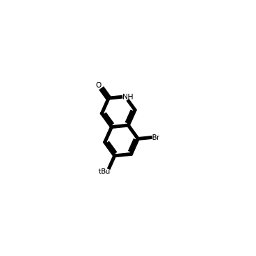 CC(C)(C)c1cc(Br)c2c[nH]c(=O)cc2c1